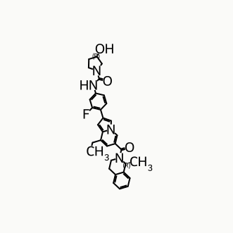 CCc1cc(C(=O)N2CCc3ccccc3[C@H]2C)cn2cc(-c3ccc(NC(=O)N4CC[C@@H](O)C4)cc3F)cc12